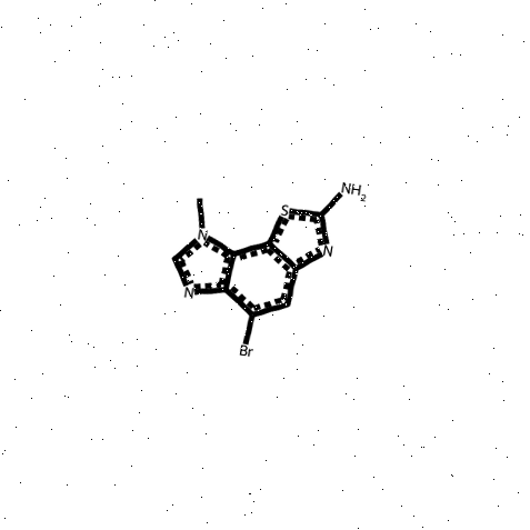 Cn1cnc2c(Br)cc3nc(N)sc3c21